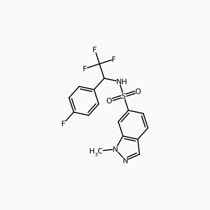 Cn1ncc2ccc(S(=O)(=O)NC(c3ccc(F)cc3)C(F)(F)F)cc21